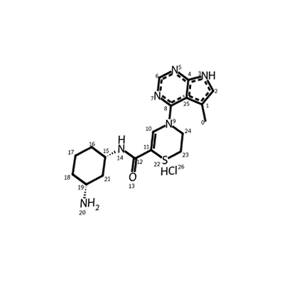 Cc1c[nH]c2ncnc(N3C=C(C(=O)N[C@H]4CCC[C@@H](N)C4)SCC3)c12.Cl